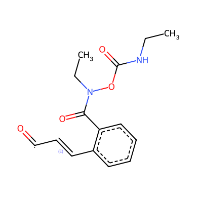 CCNC(=O)ON(CC)C(=O)c1ccccc1/C=C/[C]=O